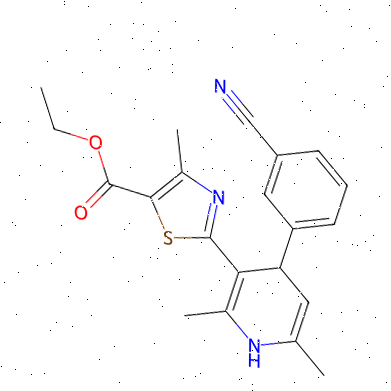 CCOC(=O)c1sc(C2=C(C)NC(C)=CC2c2cccc(C#N)c2)nc1C